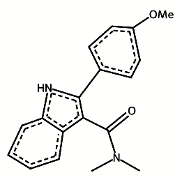 COc1ccc(-c2[nH]c3ccccc3c2C(=O)N(C)C)cc1